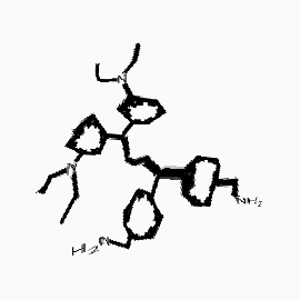 CCN(CC)c1cccc(C(=CC=C(c2ccc(CN)cc2)c2ccc(CN)cc2)c2cccc(N(CC)CC)c2)c1